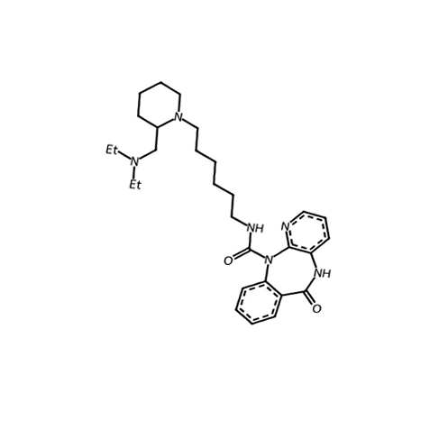 CCN(CC)CC1CCCCN1CCCCCCNC(=O)N1c2ccccc2C(=O)Nc2cccnc21